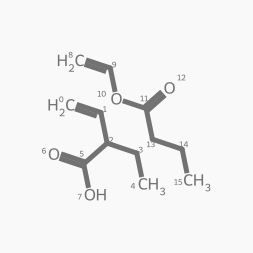 C=CC(CC)C(=O)O.C=COC(=O)CCC